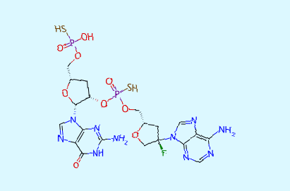 Nc1nc2c(ncn2[C@@H]2O[C@H](COP(=O)(O)S)C[C@@H]2OP(=O)(S)OC[C@@H]2C[C@](F)(n3cnc4c(N)ncnc43)CO2)c(=O)[nH]1